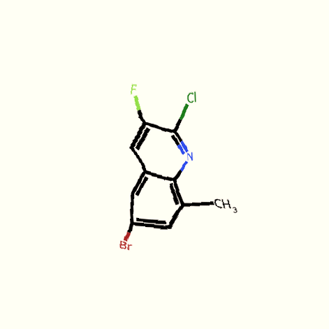 Cc1cc(Br)cc2cc(F)c(Cl)nc12